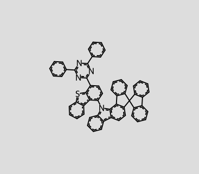 c1ccc(-c2nc(-c3ccccc3)nc(-c3ccc(-n4c5ccccc5c5ccc6c(c54)-c4ccccc4C64c5ccccc5-c5ccccc54)c4c3sc3ccccc34)n2)cc1